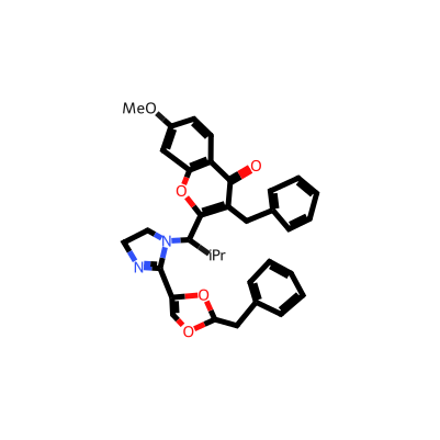 COc1ccc2c(=O)c(Cc3ccccc3)c(C(C(C)C)N3CCN=C3C3=COC(Cc4ccccc4)O3)oc2c1